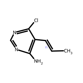 C/C=C/c1c(N)ncnc1Cl